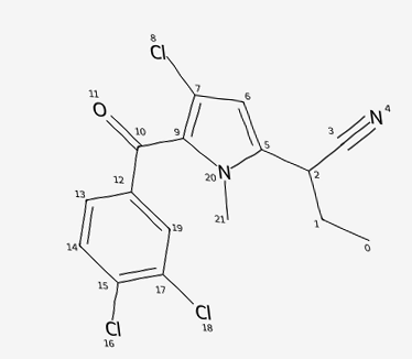 CCC(C#N)c1cc(Cl)c(C(=O)c2ccc(Cl)c(Cl)c2)n1C